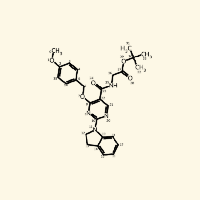 COc1ccc(COc2nc(N3CCc4ccccc43)ncc2C(=O)NCC(=O)OC(C)(C)C)cc1